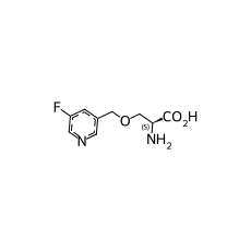 N[C@@H](COCc1cncc(F)c1)C(=O)O